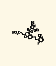 CCOc1nn(CC)cc1S(=O)(=O)N1CC(CCC(=O)O)Oc2ccc(C=Cc3c(F)cccc3C(F)(F)F)cc21